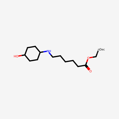 CCCCCCCCCCCOC(=O)CCCCCNC1CCC(O)CC1